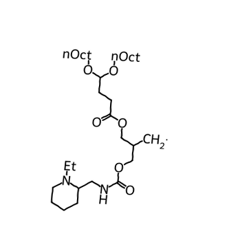 [CH2]C(COC(=O)CCC(OCCCCCCCC)OCCCCCCCC)COC(=O)NCC1CCCCN1CC